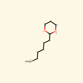 CCCCCCCCCCCCC1OCCCO1